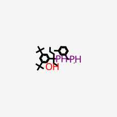 CCCC(CC)(Pc1c(C)cccc1CPC)c1cc(C(C)(C)C)cc(C(C)(C)C)c1O